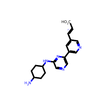 NC1CCC(Nc2cncc(-c3cncc(/C=C/C(=O)O)c3)n2)CC1